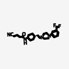 N#CCCCC(=O)N[C@H]1CC[C@H](CCN2CCN(c3cccc(C(F)F)c3)CC2)CC1